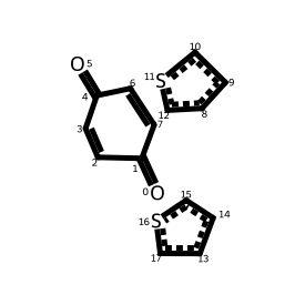 O=C1C=CC(=O)C=C1.c1ccsc1.c1ccsc1